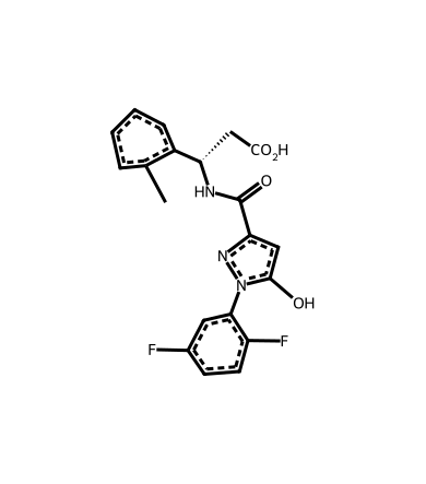 Cc1ccccc1[C@H](CC(=O)O)NC(=O)c1cc(O)n(-c2cc(F)ccc2F)n1